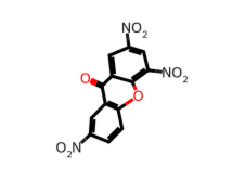 O=c1c2cc([N+](=O)[O-])ccc2oc2c([N+](=O)[O-])cc([N+](=O)[O-])cc12